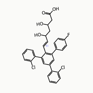 O=C(O)CC(O)CC(O)/C=C/c1c(-c2ccc(F)cc2)cc(-c2ccccc2Cl)cc1-c1ccccc1Cl